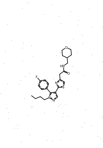 CCCCn1ncc(-c2nc(CC(=O)NCC3CCOCC3)cs2)c1-c1ccc(F)cc1